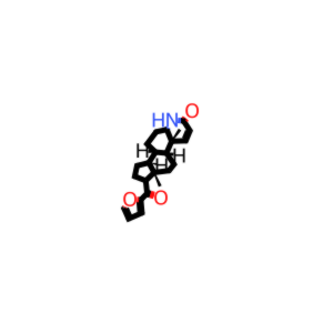 C[C@]12C=CC(=O)NC1CC[C@@H]1[C@H]2CC[C@]2(C)C(C(=O)c3ccco3)CC[C@@H]12